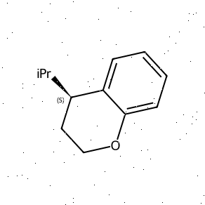 CC(C)[C@@H]1CCOc2ccccc21